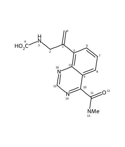 C=C(CNC(=O)O)c1cccc2c(C(=O)NC)ncnc12